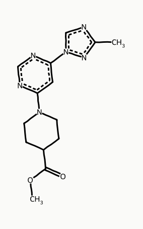 COC(=O)C1CCN(c2cc(-n3cnc(C)n3)ncn2)CC1